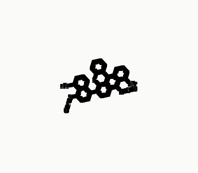 CCCc1cccc2c(-c3ccccc3Sc3ccccc3-c3ccc(N=C=O)c4c(CCC)cccc34)ccc(N=C=O)c12